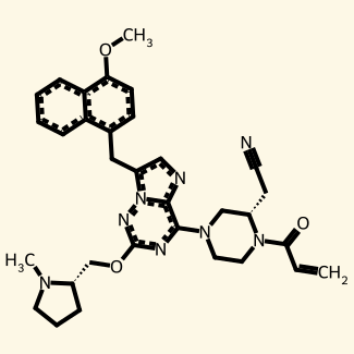 C=CC(=O)N1CCN(c2nc(OC[C@@H]3CCCN3C)nn3c(Cc4ccc(OC)c5ccccc45)cnc23)C[C@@H]1CC#N